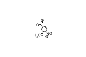 COc1cc(C(=O)N2CC2)ccc1[N+](=O)[O-]